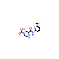 O=C(Nc1cccc(C(F)(F)F)n1)C1CN(C(=O)O)CCN1